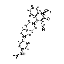 CNc1ccc(N2CCC3(CCN(c4c(C#N)c(=O)n(C)c5ccccc45)CC3)C2)cc1